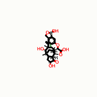 C=C[C@]1(C)C[C@@H](C(Oc2cc3c(cc2F)COB3O)C(=O)O)[C@@]2(C)[C@H](C)CC[C@]3(C[C@H](O)C(=O)[C@H]32)[C@@H](C)[C@@H]1O